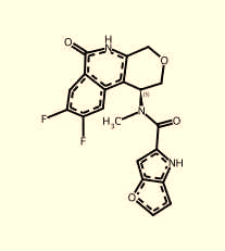 CN(C(=O)c1cc2occc2[nH]1)[C@@H]1COCc2[nH]c(=O)c3cc(F)c(F)cc3c21